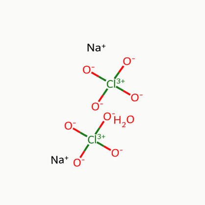 O.[Na+].[Na+].[O-][Cl+3]([O-])([O-])[O-].[O-][Cl+3]([O-])([O-])[O-]